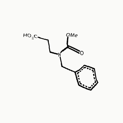 COC(=O)N(CCC(=O)O)Cc1ccccc1